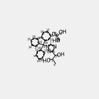 CC(O)C(O)c1ncn(C(c2ccccc2)(c2ccccc2)c2ccccc2)n1.O=[PH](O)O